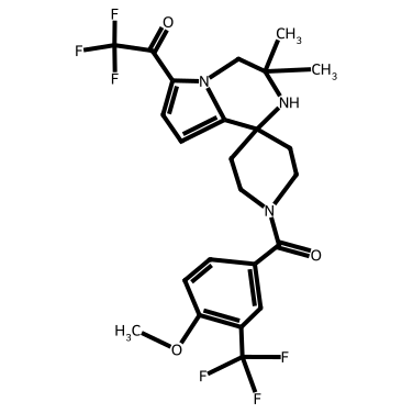 COc1ccc(C(=O)N2CCC3(CC2)NC(C)(C)Cn2c(C(=O)C(F)(F)F)ccc23)cc1C(F)(F)F